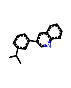 CC(C)c1cccc(-c2cnc3ccccc3c2)c1